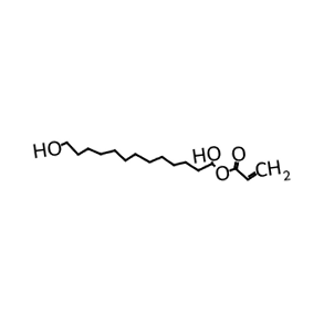 C=CC(=O)OC(O)CCCCCCCCCCCCO